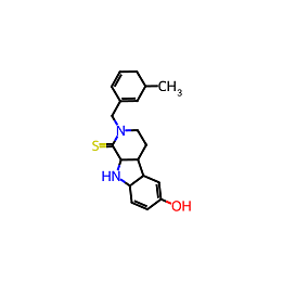 CC1C=C(CN2CCC3C(NC4C=CC(O)=CC43)C2=S)C=CC1